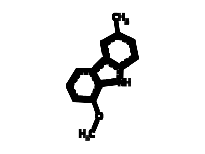 COc1cccc2c1[nH]c1ccc(C)cc12